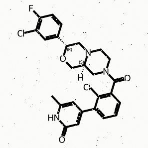 Cc1cc(-c2cccc(C(=O)N3CCN4C[C@@H](c5ccc(F)c(Cl)c5)OC[C@@H]4C3)c2Cl)cc(=O)[nH]1